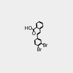 O=C(O)c1ccccc1/C=C/c1ccc(Br)c(Br)c1